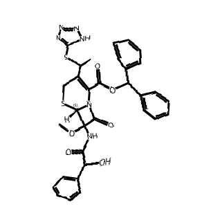 COC1(NC(=O)C(O)c2ccccc2)C(=O)N2C(C(=O)OC(c3ccccc3)c3ccccc3)=C(C(C)Sc3nnn[nH]3)CS[C@H]21